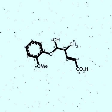 COc1ccccc1OC(O)C(C)C=CC(=O)O